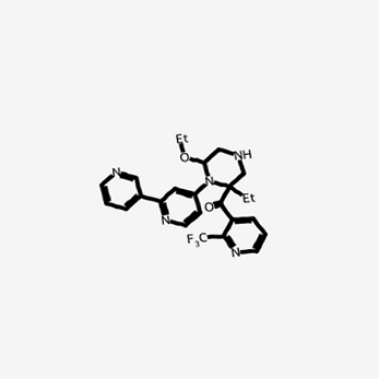 CCOC1CNCC(CC)(C(=O)c2cccnc2C(F)(F)F)N1c1ccnc(-c2cccnc2)c1